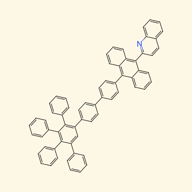 c1ccc(-c2cc(-c3ccc(-c4ccc(-c5c6ccccc6c(-c6ccc7ccccc7n6)c6ccccc56)cc4)cc3)c(-c3ccccc3)c(-c3ccccc3)c2-c2ccccc2)cc1